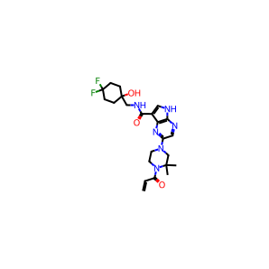 C=CC(=O)N1CCN(c2cnc3[nH]cc(C(=O)NCC4(O)CCC(F)(F)CC4)c3n2)CC1(C)C